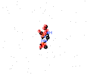 CCOC(=O)C(C)OP(=O)(CCNCc1ccc(CC(NC(=O)OC2COC3OCCC23)C(O)CN(CC(C)C)S(=O)(=O)c2ccc(OC)cc2)cc1)Oc1ccccc1